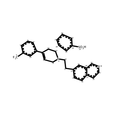 FC(F)(F)c1cccc(C2=CCN(CCc3ccc4ccncc4c3)CC2)c1.O=S(=O)(O)c1ccccc1